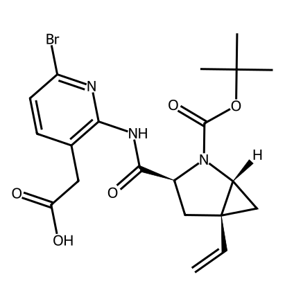 C=C[C@@]12C[C@@H](C(=O)Nc3nc(Br)ccc3CC(=O)O)N(C(=O)OC(C)(C)C)[C@@H]1C2